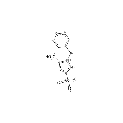 O=C(O)c1cc(S(=O)(=O)Cl)nn1Cc1ccccc1